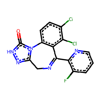 O=c1[nH]nc2n1-c1ccc(Cl)c(Cl)c1C(c1ncccc1F)=NC2